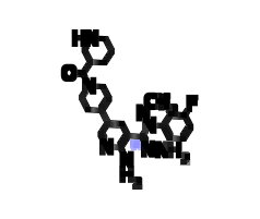 C=NN(/C(=N\N)c1cc(C2=CCN(C(=O)C3CCCNC3)CC2)cnc1N)c1cccc(F)c1F